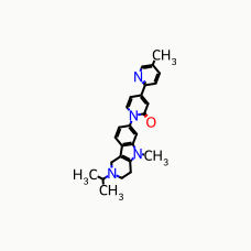 Cc1ccc(-c2ccn(-c3ccc4c5c(n(C)c4c3)CCN(C(C)C)C5)c(=O)c2)nc1